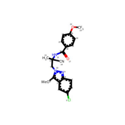 COc1c2cc(Cl)ccc2nn1CC(C)(C#N)NC(=O)c1ccc(OC(F)(F)F)cc1